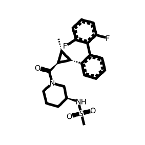 C[C@H]1[C@H](C(=O)N2CCC[C@H](NS(C)(=O)=O)C2)[C@H]1c1ccccc1-c1c(F)cccc1F